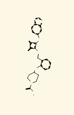 CC(C)(C)OC(=O)N1CCC(Oc2ccccc2CNc2c(Nc3ccc4[nH]cnc4c3)c(=O)c2=O)CC1